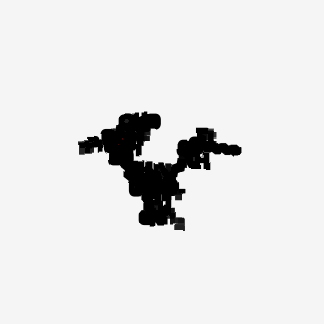 C=CCCCCCC(CC)OCC(=O)NCCCC[C@H](N)C(=O)N[C@H](C(=O)N[C@@H](CCCNC(N)=O)C(=O)Nc1ccc(COC(=O)NCC(=O)[C@@]23OC(CCC)O[C@@H]2CC2[C@@H]4C[C@H](F)C5=CC(=O)C=C[C@]5(C)[C@@]4(F)[C@@H](O)C[C@@]23C)cc1)C(C)C